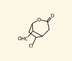 O=CC1C2CC(Cl)C1CC(=O)O2